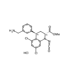 COC(=O)[C@H]1C[C@H](c2cccc(CN)c2)c2c(Cl)cc(Cl)cc2N1N=C=O.Cl